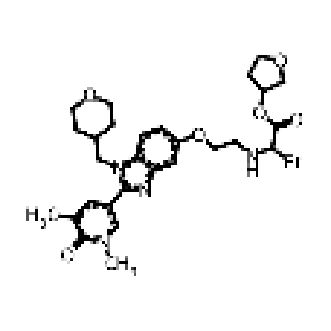 CCC(NCCOc1ccc2c(c1)nc(-c1cc(C)c(=O)n(C)c1)n2CC1CCOCC1)C(=O)OC1CCOC1